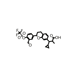 CC(C(=O)O)C(c1ccc2c(c1)OC(c1ccc(OS(=O)(=O)C(F)(F)F)c(C=O)c1)CC2)C1CC1